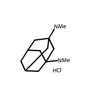 CNC12CC3CC(C1)CC(NC)(C3)C2.Cl